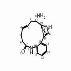 N[C@H]1C/C=C/CCC(=O)Nc2ccccc2-c2c[nH]c1n2